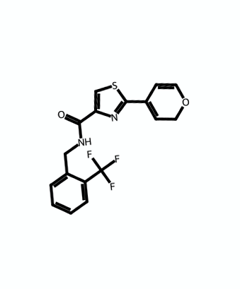 O=C(NCc1ccccc1C(F)(F)F)c1csc(C2=CCOC=C2)n1